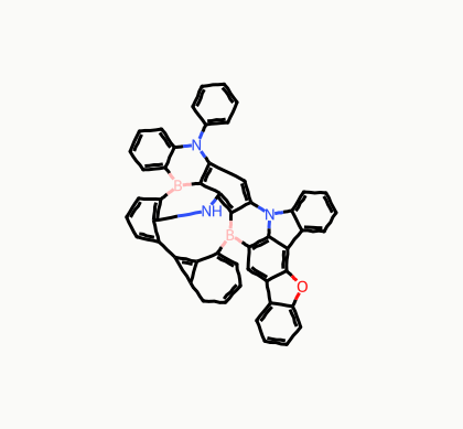 C1=CCC2C3=C2c2cccc4c2Nc2c5c(cc6c2B(C3=C1)c1cc2c3ccccc3oc2c2c3ccccc3n-6c12)N(c1ccccc1)c1ccccc1B45